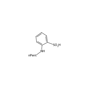 CCCCCNc1ccccc1S(=O)(=O)O